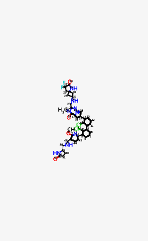 COc1nc(-c2cccc(-c3cccc(-c4cc5c(=O)n(C)c(CNC6CC7(C6)CC(F)(F)C(=O)N7)nn5c4)c3Cl)c2Cl)ccc1CNC[C@@H]1CCC(=O)N1